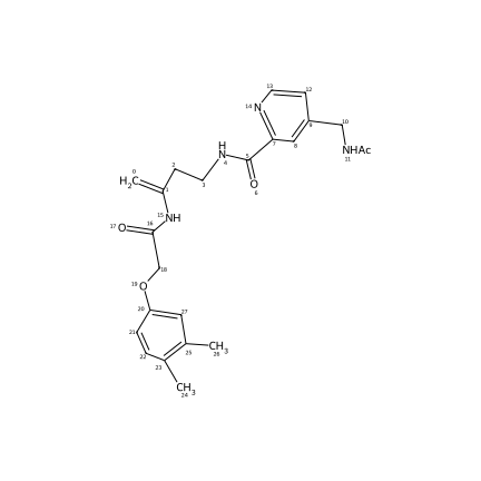 C=C(CCNC(=O)c1cc(CNC(C)=O)ccn1)NC(=O)COc1ccc(C)c(C)c1